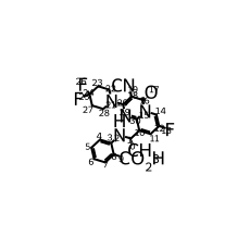 C[C@@H](Nc1ccccc1C(=O)O)c1cc(F)cn2c(=O)c(C#N)c(N3CCC(F)(F)CC3)nc12